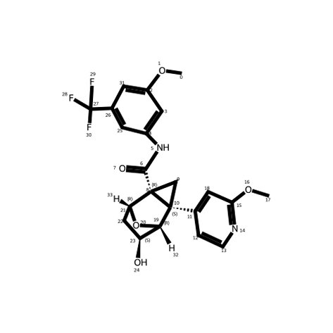 COc1cc(NC(=O)[C@]23C[C@@]2(c2ccnc(OC)c2)[C@H]2O[C@@H]3C[C@@H]2O)cc(C(F)(F)F)c1